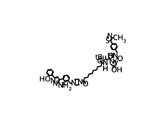 Cc1ncsc1-c1ccc(CNC(=O)[C@@H]2C[C@@H](O)CN2C(=O)C(NC(=O)CCCCCCCCC(=O)N2CCN(Cc3cccc(-c4cc(-c5ccccc5O)nnc4N)c3F)CC2)C(C)(C)C)cc1